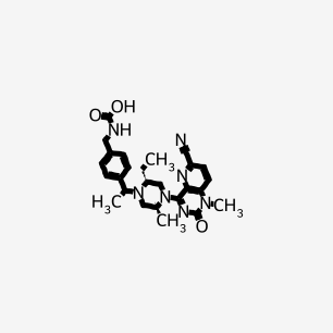 CC[C@@H]1CN(c2nc(=O)n(C)c3ccc(C#N)nc23)[C@@H](C)CN1C(C)c1ccc(CNC(=O)O)cc1